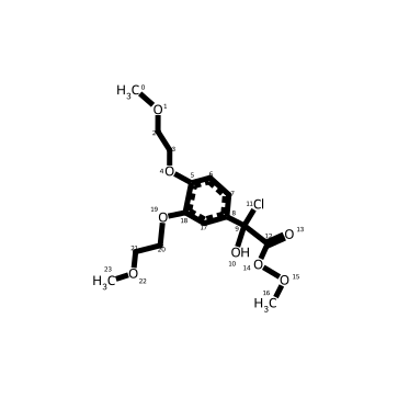 COCCOc1ccc(C(O)(Cl)C(=O)OOC)cc1OCCOC